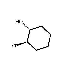 O[C@@H]1CCCC[C@H]1Cl